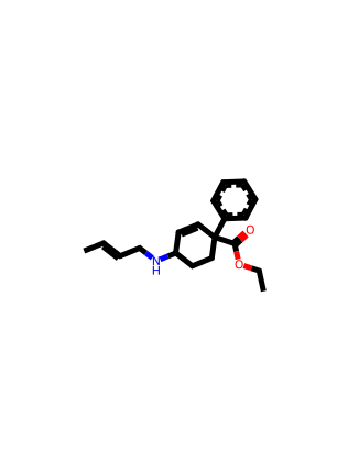 CC=CCNC1C=CC(C(=O)OCC)(c2ccccc2)CC1